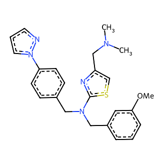 COc1cccc(CN(Cc2ccc(-n3cccn3)cc2)c2nc(CN(C)C)cs2)c1